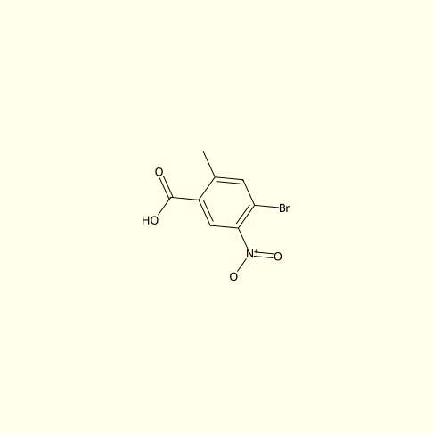 Cc1cc(Br)c([N+](=O)[O-])cc1C(=O)O